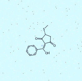 CSC1CC(=O)/C(=C(\O)c2ccccc2)C1=O